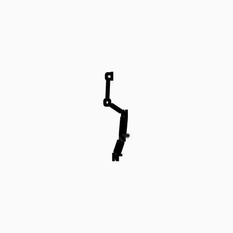 [N-]=[N+]=NOCl